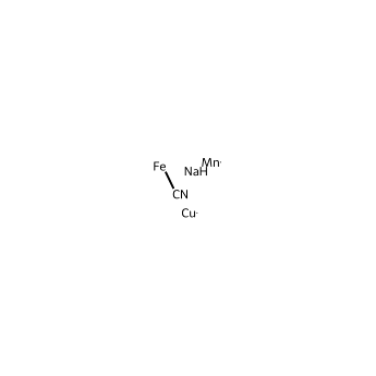 N#[C][Fe].[Cu].[Mn].[NaH]